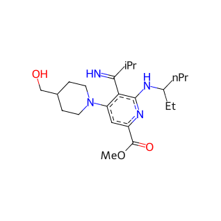 CCCC(CC)Nc1nc(C(=O)OC)cc(N2CCC(CO)CC2)c1C(=N)C(C)C